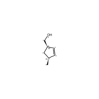 C[C@@H]1C=C[C@H](CO)C1